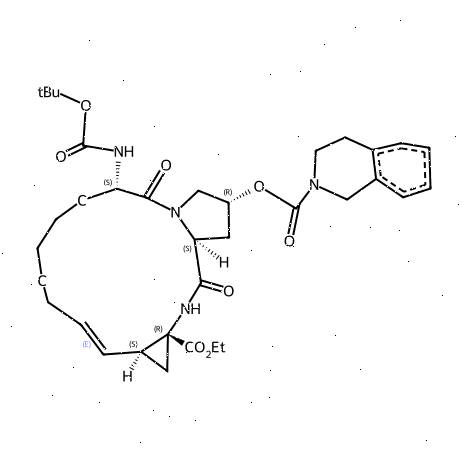 CCOC(=O)[C@@]12C[C@H]1/C=C/CCCCC[C@H](NC(=O)OC(C)(C)C)C(=O)N1C[C@H](OC(=O)N3CCc4ccccc4C3)C[C@H]1C(=O)N2